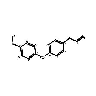 C=CCc1ccc(Oc2ccc(CC)cc2)cc1